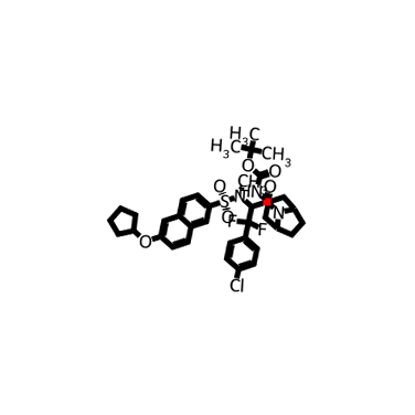 CN(C(C(=O)N1C2CCC1CC(NC(=O)OC(C)(C)C)C2)C(F)(F)c1ccc(Cl)cc1)S(=O)(=O)c1ccc2cc(OC3CCCC3)ccc2c1